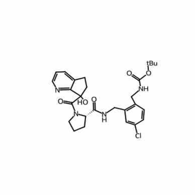 CC(C)(C)OC(=O)NCc1ccc(Cl)cc1CNC(=O)[C@@H]1CCCN1C(=O)C1(O)CCc2cccnc21